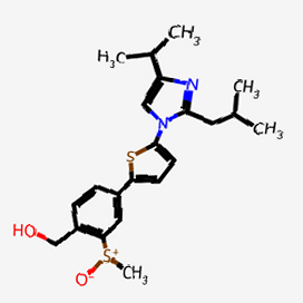 CC(C)Cc1nc(C(C)C)cn1-c1ccc(-c2ccc(CO)c([S+](C)[O-])c2)s1